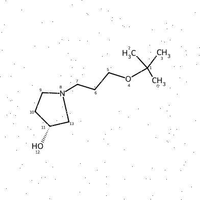 CC(C)(C)OCCCN1CC[C@@H](O)C1